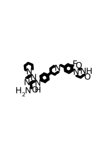 NC(=O)c1ncc(N2CCCCC2)nc1Nc1ccc(C2CCN(Cc3ccc(N4CCC(=O)NC4=O)c(F)c3)CC2)cc1